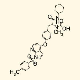 Cc1ccc(S(=O)(=O)n2ccc3c(Oc4ccc(CC(C(=O)NC5CCCCC5)N(C)C(=O)O)cc4)ccnc32)cc1